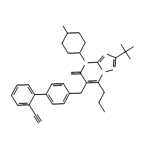 CCCc1c(Cc2ccc(-c3ccccc3C#N)cc2)c(=O)n(C2CCC(O)CC2)c2nc(C(F)(F)F)nn12